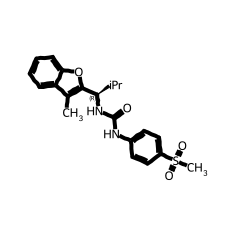 Cc1c([C@H](NC(=O)Nc2ccc(S(C)(=O)=O)cc2)C(C)C)oc2ccccc12